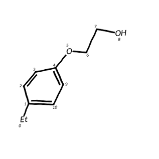 [CH2]Cc1ccc(OCCO)cc1